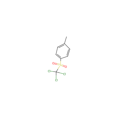 Cc1ccc(S(=O)(=O)C(Cl)(Cl)Cl)cc1